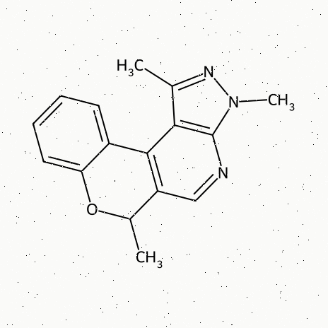 Cc1nn(C)c2ncc3c(c12)-c1ccccc1OC3C